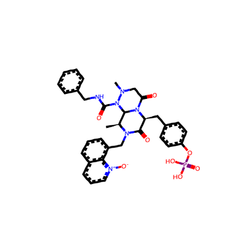 C[C@H]1C2N(C(=O)CN(C)N2C(=O)NCc2ccccc2)[C@@H](Cc2ccc(OP(=O)(O)O)cc2)C(=O)N1Cc1cccc2ccc[n+]([O-])c12